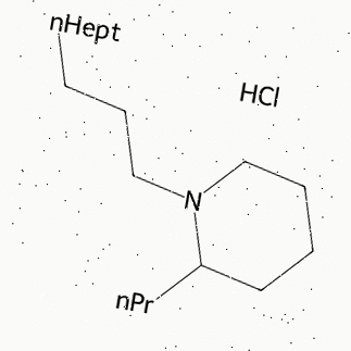 CCCCCCCCCCN1CCCCC1CCC.Cl